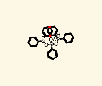 CO[Si](O[SiH](c1ccccc1)c1ccccc1)(O[SiH](c1ccccc1)c1ccccc1)c1ccccc1